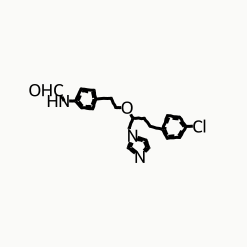 O=CNc1ccc(CCOC(CCc2ccc(Cl)cc2)Cn2ccnc2)cc1